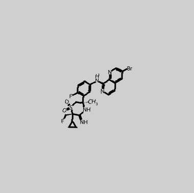 C[C@@]1(c2cc(Nc3nccc4cc(Br)cnc34)ccc2F)CS(=O)(=O)[C@@](CF)(C2CC2)C(=N)N1